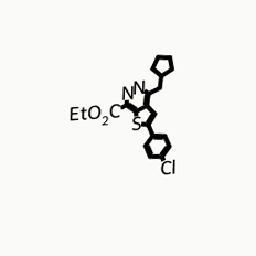 CCOC(=O)c1nnc(CC2CCCC2)c2cc(-c3ccc(Cl)cc3)sc12